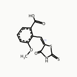 COc1cccc(C(=O)O)c1/C=C1/SC(=S)NC1=O